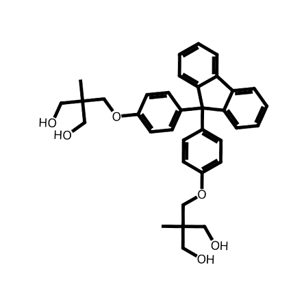 CC(CO)(CO)COc1ccc(C2(c3ccc(OCC(C)(CO)CO)cc3)c3ccccc3-c3ccccc32)cc1